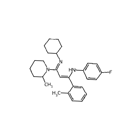 Cc1ccccc1/C(=C/C(=N/C1CCCCC1)N1CCCCC1C)Nc1ccc(F)cc1